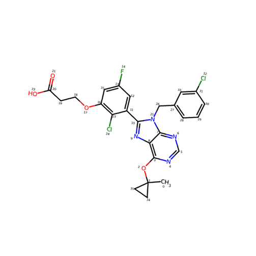 CC1(Oc2ncnc3c2nc(-c2cc(F)cc(OCCC(=O)O)c2Cl)n3Cc2cccc(Cl)c2)CC1